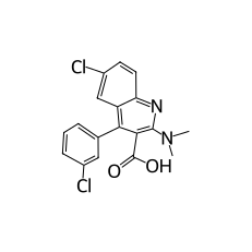 CN(C)c1nc2ccc(Cl)cc2c(-c2cccc(Cl)c2)c1C(=O)O